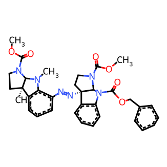 COC(=O)N1CC[C@]2(/N=N/c3cccc4c3N(C)C3N(C(=O)OC)CC[C@]43C)c3ccccc3N(C(=O)OCc3ccccc3)C12